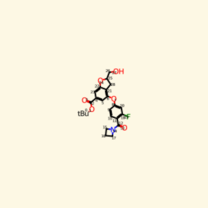 CC(C)(C)OC(=O)c1cc(Oc2ccc(C(=O)N3CCC3)c(F)c2)c2c(c1)OC(CO)C2